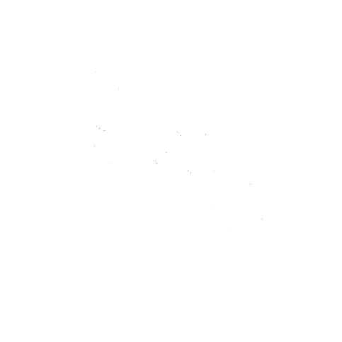 c1ccc2cc(-c3ccnc(N4CCC(CN5CCOCC5)C4)n3)ccc2c1